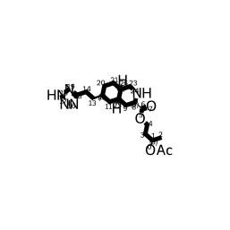 CC(=O)O[C@@H](C)CCOC(=O)[C@@H]1C[C@H]2C[C@@H](CCc3nn[nH]n3)CC[C@H]2CN1